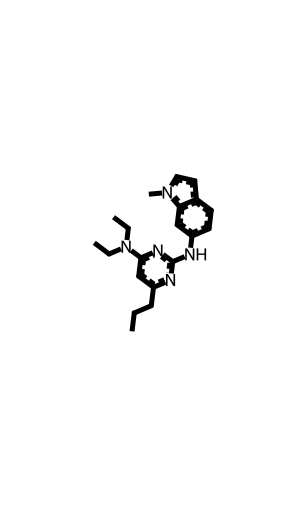 CCCc1cc(N(CC)CC)nc(Nc2ccc3ccn(C)c3c2)n1